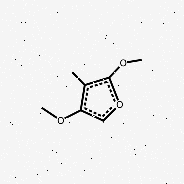 COc1[c]oc(OC)c1C